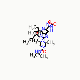 C=C/C(=C\C)c1nc(-c2noc(=O)[nH]2)cc2nc(N3[C@H](C)CN(C(=O)NC(C)C)C[C@H]3C)n(C[C@@H](C)CCCC)c12